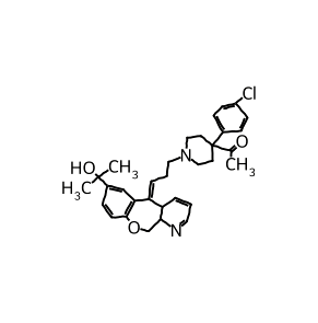 CC(=O)C1(c2ccc(Cl)cc2)CCN(CC/C=C2/c3cc(C(C)(C)O)ccc3OCC3N=CC=CC23)CC1